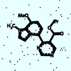 COc1ccc(-c2ncncc2C(=O)OC(C)C)c2ccn(C)c12